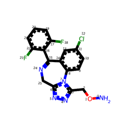 NOCc1nnc2n1-c1ccc(Cl)cc1C(c1c(F)cccc1F)=NC2